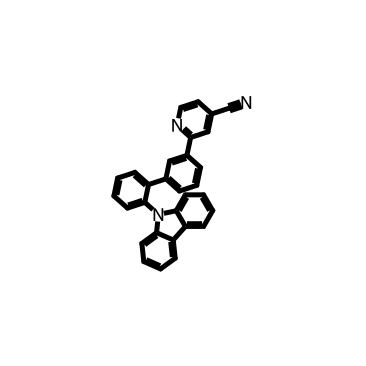 N#Cc1ccnc(-c2cccc(-c3ccccc3-n3c4ccccc4c4ccccc43)c2)c1